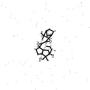 C[C@H]1CC[C@]23C[C@H]1C(C)(C)[C@H]2CCC31OC1C1OC12C1CCC(C1)C2(C)C